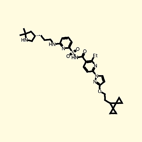 CCc1nc(-n2ccc(OCCC3C4(CC4)C34CC4)n2)ccc1C(=O)NS(=O)(=O)c1cccc(NCCC[C@@H]2CNC(C)(C)C2)n1